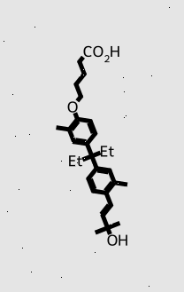 CCC(CC)(c1ccc(C=CC(C)(C)O)c(C)c1)c1ccc(OCCCCC(=O)O)c(C)c1